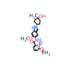 COc1cc2nn(C3CCC(C)(O)CC3)cc2cc1NC(=O)c1cccc(OC)[n+]1[O-]